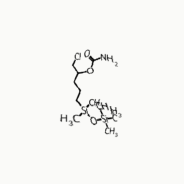 C[Si](C)(C)O[Si](C)(C)CCCC(CCl)OC(N)=O